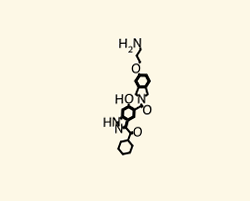 NCCCOc1ccc2c(c1)CN(C(=O)c1cc3c(C(=O)C4CCCCC4)n[nH]c3cc1O)C2